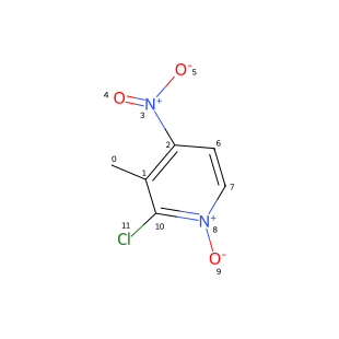 Cc1c([N+](=O)[O-])cc[n+]([O-])c1Cl